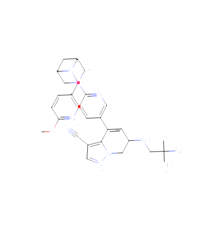 COc1ccc(CN2C3CC2CN(c2ccc(C4=CC(NCC(C)(C)N)Cn5ncc(C#N)c54)cn2)C3)cn1